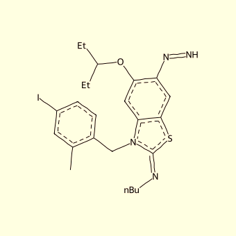 CCCCN=c1sc2cc(N=N)c(OC(CC)CC)cc2n1Cc1ccc(I)cc1C